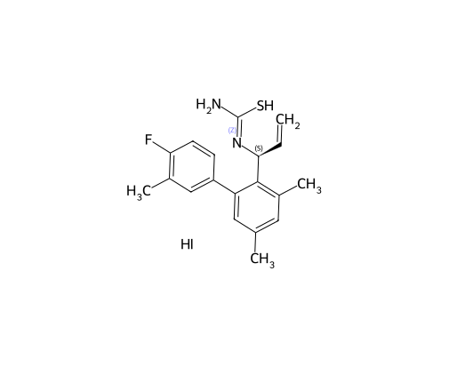 C=C[C@H](/N=C(/N)S)c1c(C)cc(C)cc1-c1ccc(F)c(C)c1.I